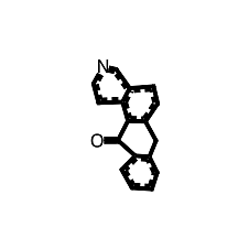 O=C1c2ccccc2Cc2ccc3cnccc3c21